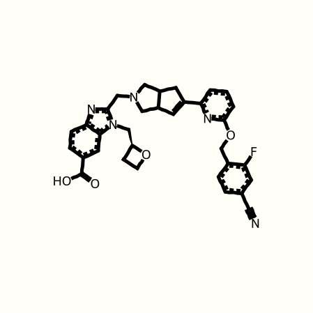 N#Cc1ccc(COc2cccc(C3=CC4CN(Cc5nc6ccc(C(=O)O)cc6n5C[C@@H]5CCO5)CC4C3)n2)c(F)c1